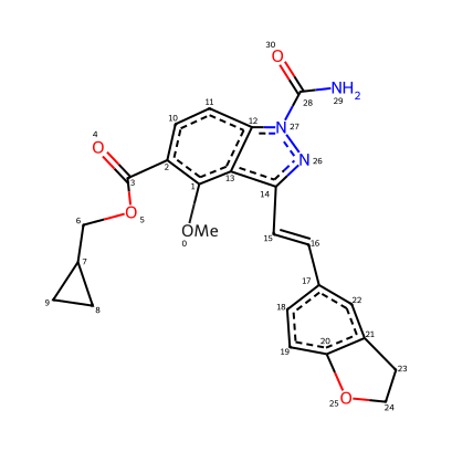 COc1c(C(=O)OCC2CC2)ccc2c1c(C=Cc1ccc3c(c1)CCO3)nn2C(N)=O